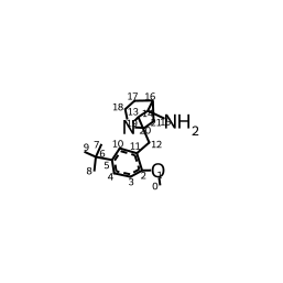 COc1ccc(C(C)(C)C)cc1CC1C(N)C2CCN1CC2